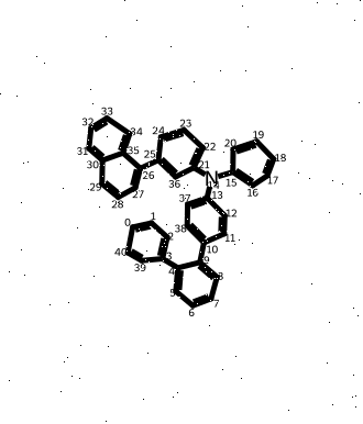 c1ccc(-c2ccccc2-c2ccc(N(c3ccccc3)c3cccc(-c4cccc5ccccc45)c3)cc2)cc1